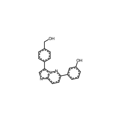 OCc1ccc(-c2cnc3ccc(-c4cccc(O)c4)nn23)cc1